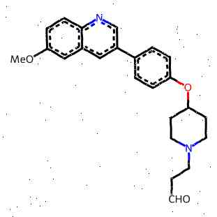 COc1ccc2ncc(-c3ccc(OC4CCN(CCC=O)CC4)cc3)cc2c1